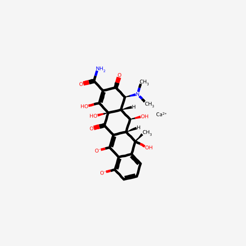 CN(C)[C@@H]1C(=O)C(C(N)=O)=C(O)[C@@]2(O)C(=O)C3=C([O-])c4c([O-])cccc4[C@@](C)(O)[C@H]3[C@H](O)[C@@H]12.[Ca+2]